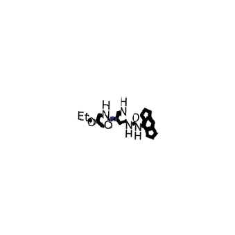 CCOC1CN/C(=C(\C=N)CCNC(=O)Nc2c3c(cc4c2CCC4)CCC3)OC1